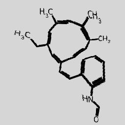 CCc1cc(C)cc(C)c(C)ccc(/C=C\c2ccccc2NC=O)c1